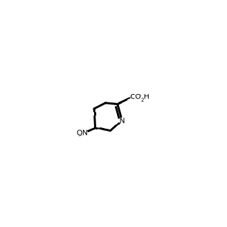 O=NC1CCC(C(=O)O)=NC1